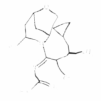 C=C(C)/N=C(\C(C)C(C)C1CC1)N1C(C)CC2CC1CO2